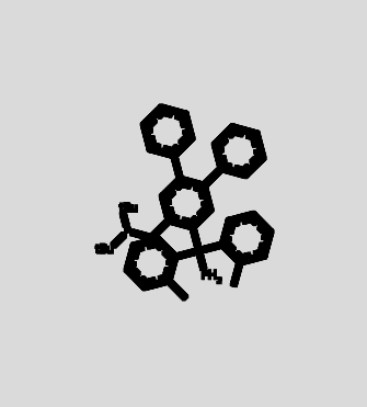 Cc1ccccc1C(P)(c1ccccc1C)c1cc(-c2ccccc2)c(-c2ccccc2)cc1CP(C(C)(C)C)C(C)(C)C